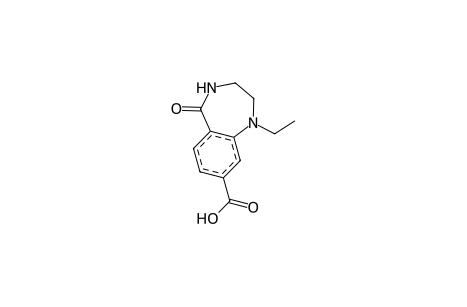 CCN1CCNC(=O)c2ccc(C(=O)O)cc21